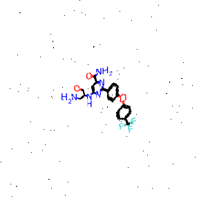 NCC(C=O)Nc1cc(C(N)=O)nc(-c2ccc(Oc3ccc(C(F)(F)F)cc3)cc2)n1